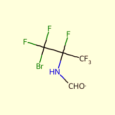 O=[C]NC(F)(C(F)(F)F)C(F)(F)Br